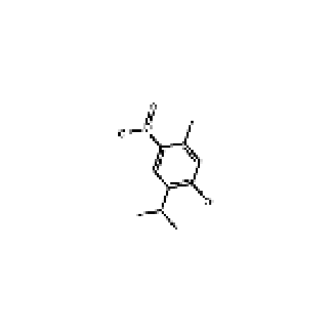 Cc1cc([O])c(C(C)C)cc1[N+](=O)[O-]